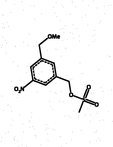 COCc1cc(COS(C)(=O)=O)cc([N+](=O)[O-])c1